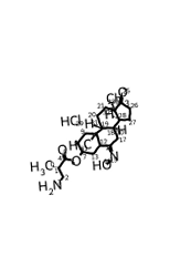 C[C@@H](CN)C(=O)OC1CC[C@@]2(C)C(C1)/C(=N\O)C[C@@H]1[C@H]2CC[C@]2(C)C(=O)CC[C@@H]12.Cl